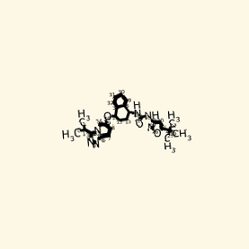 CC(C)c1nnc2ccc(OC3CCC(NC(=O)Nc4cc(C(C)(C)C)on4)c4ccccc43)cn12